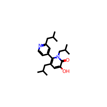 CC(C)Cc1cc(-c2c(CC(C)C)cc(O)c(=O)n2CC(C)C)ccn1